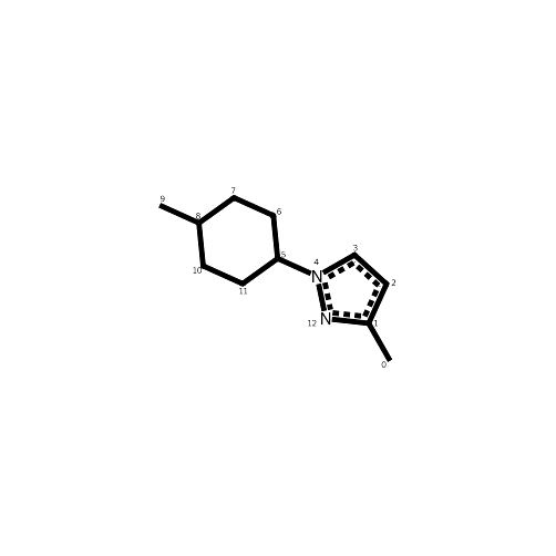 Cc1ccn(C2CCC(C)CC2)n1